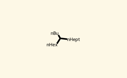 [CH2]CCCCCCC(CCCC)CCCCCC